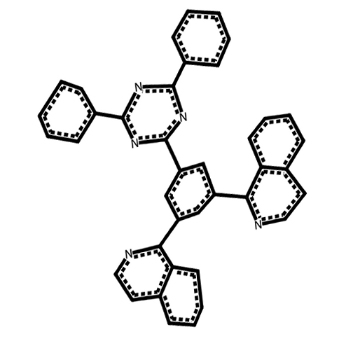 c1ccc(-c2nc(-c3ccccc3)nc(-c3cc(-c4nccc5ccccc45)cc(-c4nccc5ccccc45)c3)n2)cc1